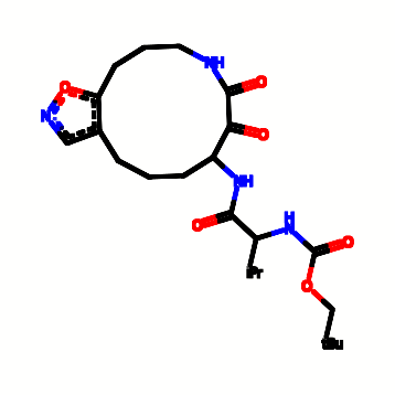 CC(C)C(NC(=O)OCC(C)(C)C)C(=O)NC1CCCc2cnoc2CCCNC(=O)C1=O